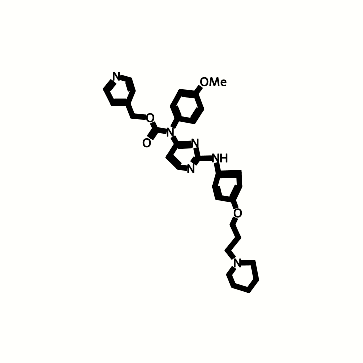 COc1ccc(N(C(=O)OCc2ccncc2)c2ccnc(Nc3ccc(OCCCN4CCCCC4)cc3)n2)cc1